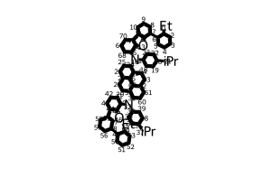 CCc1ccccc1-c1cccc2c1oc1c(N(c3ccc(C(C)C)cc3)c3ccc4ccc5c(N(c6ccc(C(C)C)cc6)c6cccc7c6oc6c(-c8ccccc8CC)cccc67)ccc6ccc3c4c65)cccc12